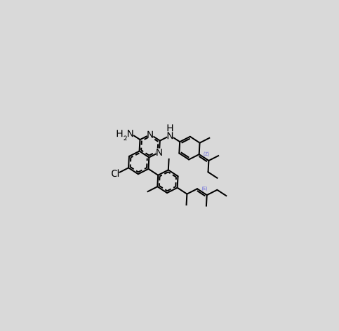 CC/C(C)=C1\C=CC(Nc2nc(N)c3cc(Cl)cc(-c4c(C)cc(C(C)/C=C(\C)CC)cc4C)c3n2)=CC1C